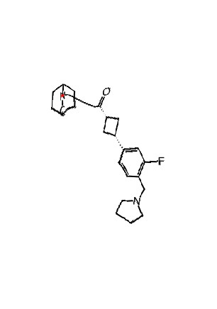 O=C([C@H]1C[C@@H](c2ccc(CN3CCCC3)c(F)c2)C1)N1CC2CCC(CC2)C1